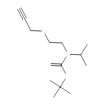 C#CCNCCN(C(=O)OC(C)(C)C)C(C)C